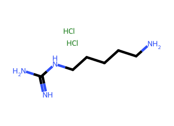 Cl.Cl.N=C(N)NCCCCCN